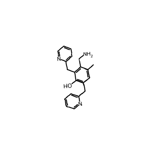 Cc1cc(Cc2ccccn2)c(O)c(Cc2ccccn2)c1CN